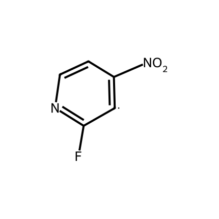 O=[N+]([O-])c1[c]c(F)ncc1